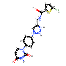 Cn1c(=O)ccn(-c2ccc(-n3cc(CNC(=O)c4ccc(Cl)s4)nn3)cc2)c1=O